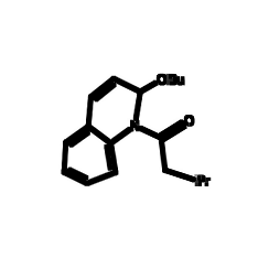 CC(C)COC1C=Cc2ccccc2N1C(=O)CC(C)C